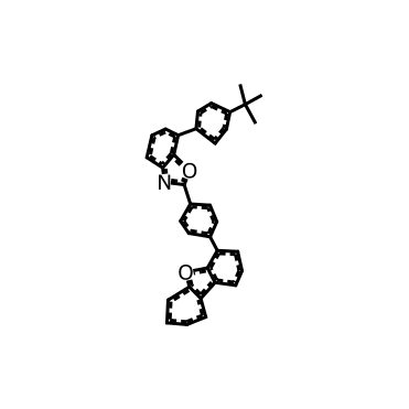 CC(C)(C)c1ccc(-c2cccc3nc(-c4ccc(-c5cccc6c5oc5ccccc56)cc4)oc23)cc1